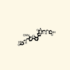 COc1nc(-c2cccc(-c3cc4c(=O)n(C)c(CNC[C@H]5CNC(=O)C5)nn4c3)c2Cl)ccc1CNC[C@@H]1CCC(=O)N1